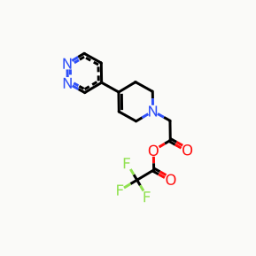 O=C(CN1CC=C(c2ccnnc2)CC1)OC(=O)C(F)(F)F